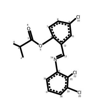 CC(C)C(=O)Oc1ccc(Cl)cc1C=Nc1cccc(Cl)c1Cl